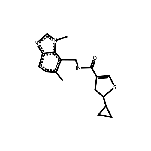 Cc1ccc2ncn(C)c2c1CNC(=O)C1=CSC(C2CC2)C1